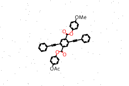 COc1ccc(OC(=O)c2cc(C#Cc3ccccc3)c(C(=O)Oc3ccc(OC(C)=O)cc3)cc2C#Cc2ccccc2)cc1